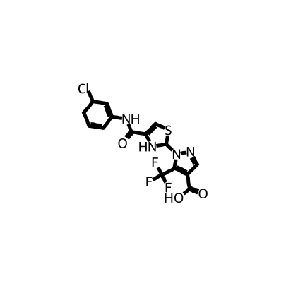 O=C(NC1=CC(Cl)CC=C1)C1=CSC(n2ncc(C(=O)O)c2C(F)(F)F)N1